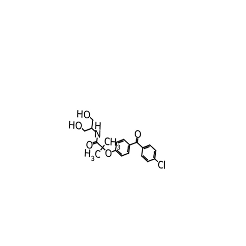 CC(C)(Oc1ccc(C(=O)c2ccc(Cl)cc2)cc1)C(=O)NC(CO)CO